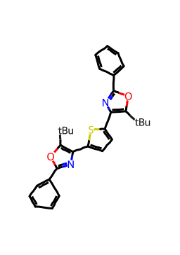 CC(C)(C)c1oc(-c2ccccc2)nc1-c1ccc(-c2nc(-c3ccccc3)oc2C(C)(C)C)s1